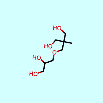 CC(CO)(CO)COCC(O)CO